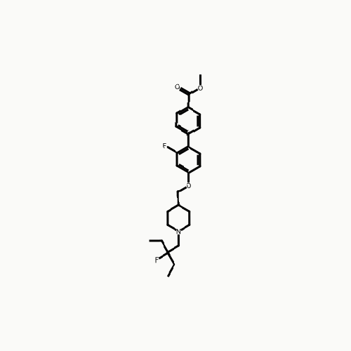 CCC(F)(CC)CN1CCC(COc2ccc(-c3ccc(C(=O)OC)cc3)c(F)c2)CC1